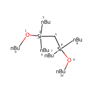 CCCCO[Si](CCCC)(CCCC)C[Si](CCCC)(CCCC)OCCCC